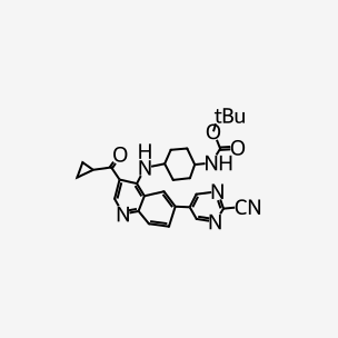 CC(C)(C)OC(=O)NC1CCC(Nc2c(C(=O)C3CC3)cnc3ccc(-c4cnc(C#N)nc4)cc23)CC1